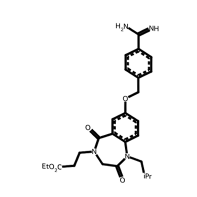 CCOC(=O)CCN1CC(=O)N(CC(C)C)c2ccc(OCc3ccc(C(=N)N)cc3)cc2C1=O